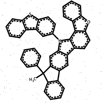 CC1(c2ccccc2)c2ccccc2-c2cc3c4ccc5oc6ccccc6c5c4n(-c4ccc5sc6ccccc6c5c4)c3cc21